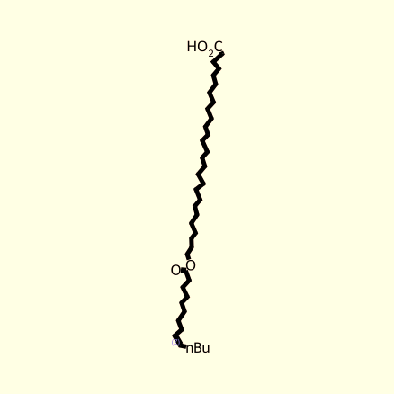 CCCC/C=C\CCCCCCCC(=O)OCCCCCCCCCCCCCCCCCCCCCCCCCCC(=O)O